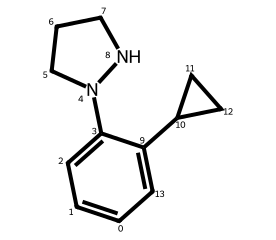 c1ccc(N2CCCN2)c(C2CC2)c1